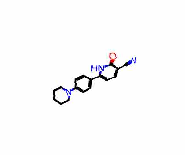 N#Cc1ccc(-c2ccc(N3CCCCC3)cc2)[nH]c1=O